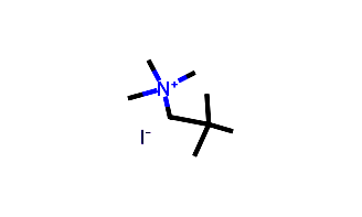 CC(C)(C)C[N+](C)(C)C.[I-]